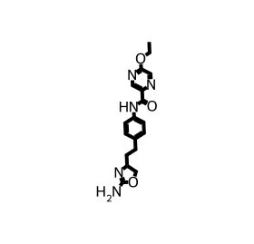 CCOc1cnc(C(=O)Nc2ccc(CCC3COC(N)=N3)cc2)cn1